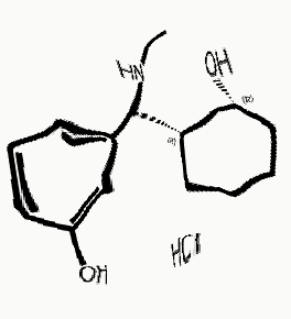 CNC(c1cccc(O)c1)[C@H]1CCCC[C@H]1O.Cl